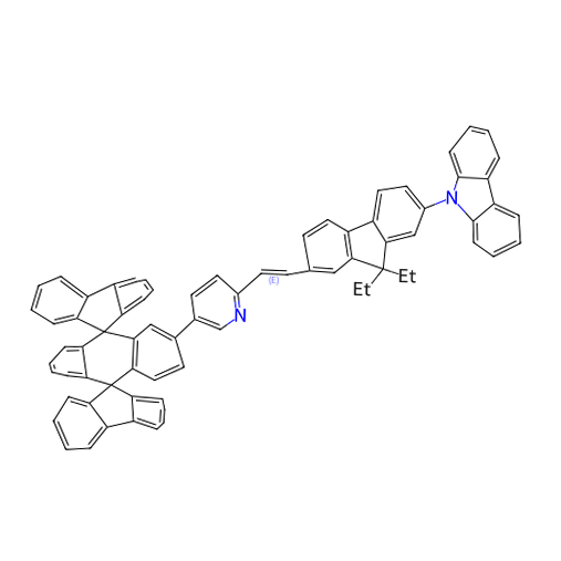 CCC1(CC)c2cc(/C=C/c3ccc(-c4ccc5c(c4)C4(c6ccccc6-c6ccccc64)c4ccccc4C54c5ccccc5-c5ccccc54)cn3)ccc2-c2ccc(-n3c4ccccc4c4ccccc43)cc21